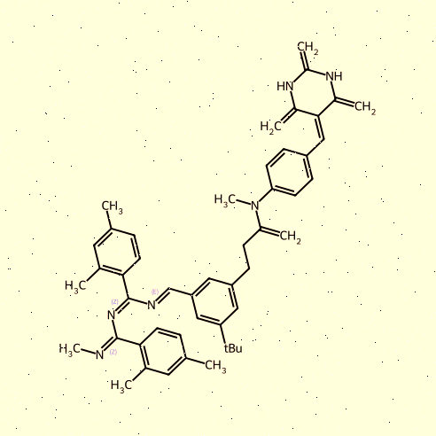 C=C1NC(=C)C(=Cc2ccc(N(C)C(=C)CCc3cc(/C=N/C(=N\C(=N/C)c4ccc(C)cc4C)c4ccc(C)cc4C)cc(C(C)(C)C)c3)cc2)C(=C)N1